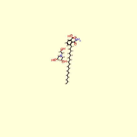 CCCCCCCCCCCCCCCCCCc1cccc(C(=O)O)c1C(N)=O.OCCN(CCO)CCO